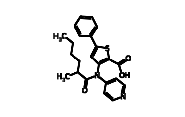 CCCCC(C)C(=O)N(c1ccncc1)c1cc(-c2ccccc2)sc1C(=O)O